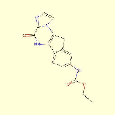 CCOC(=O)Nc1ccc2c(c1)Cc1c-2[nH]c(=O)c2nccn12